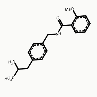 COc1ccccc1C(=O)NCc1ccc(CC(N)C(=O)O)cc1